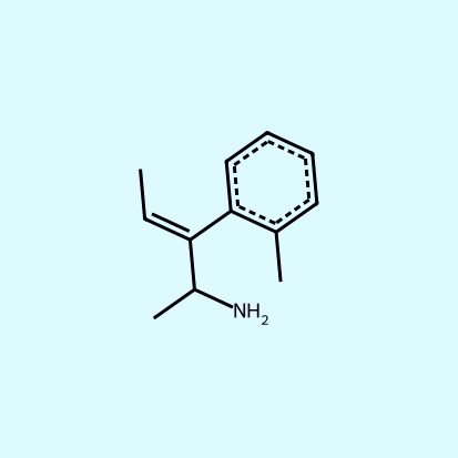 C/C=C(\c1ccccc1C)C(C)N